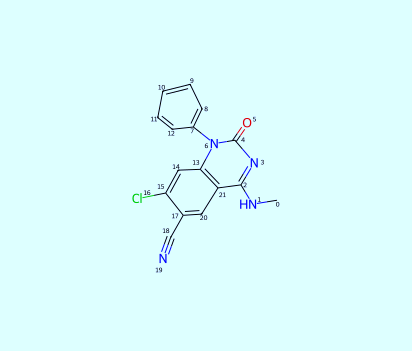 CNc1nc(=O)n(-c2ccccc2)c2cc(Cl)c(C#N)cc12